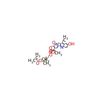 CCc1c2c(nc3ccc(O)cc13)-c1cc3c(c(=O)n1C2)COC(=O)[C@@]3(CC)OC(=O)OCCSSC(C)(C)COC(=O)C(C)C